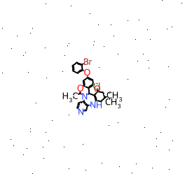 CC(=O)N1c2ccncc2NC2=C(C(=O)CC(C)(C)C2)C1c1ccc(Oc2ccccc2Br)cc1Cl